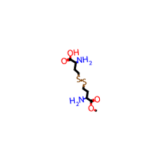 COC(=O)[C@@H](N)CCSSCCC(N)C(=O)O